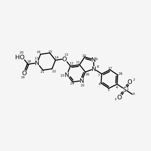 CS(=O)(=O)c1ccc(-n2ncc3c(OC4CCN(C(=O)O)CC4)ncnc32)cc1